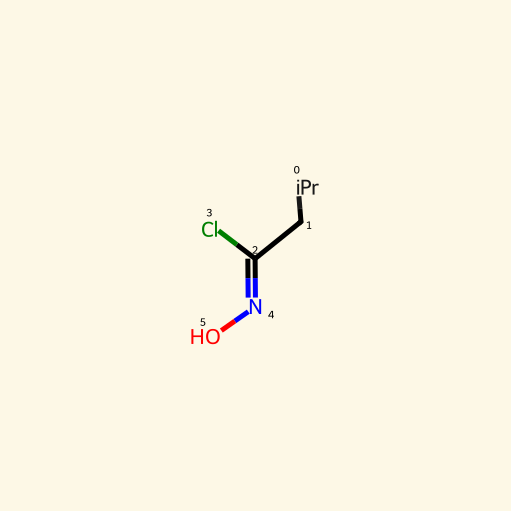 CC(C)CC(Cl)=NO